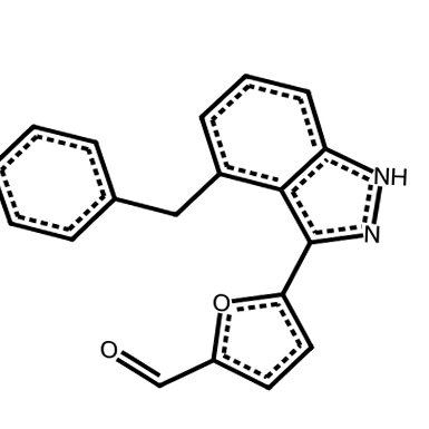 O=Cc1ccc(-c2n[nH]c3cccc(Cc4ccccc4)c23)o1